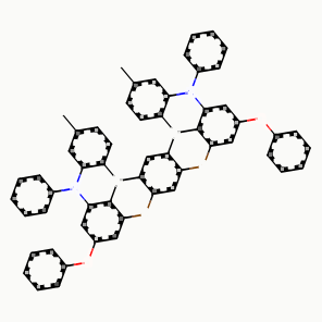 Cc1ccc2c(c1)N(c1ccccc1)c1cc(Oc3ccccc3)cc3c1B2c1cc2c(cc1S3)Sc1cc(Oc3ccccc3)cc3c1B2c1ccc(C)cc1N3c1ccccc1